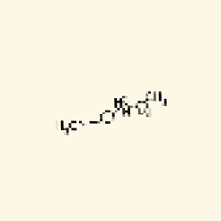 CCCCC[C@H]1CC[C@H](c2noc(-c3cncc(C)c3)n2)CC1